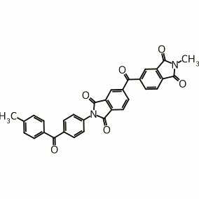 Cc1ccc(C(=O)c2ccc(N3C(=O)c4ccc(C(=O)c5ccc6c(c5)C(=O)N(C)C6=O)cc4C3=O)cc2)cc1